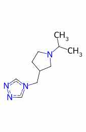 CC(C)N1CCC(Cn2cnnc2)C1